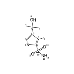 Cc1c(C(C)(C)O)csc1S(N)(=O)=O